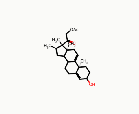 CC(=O)OCC(=O)[C@@]1(C)[C@H](C)CC2C3CCC4=CC(O)CC[C@]4(C)C3=CC[C@@]21C